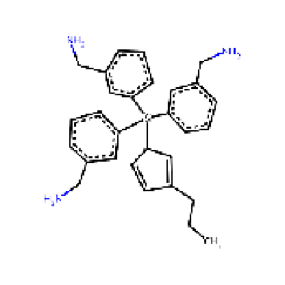 CCCC1=C[C]([Si](c2cccc(CN)c2)(c2cccc(CN)c2)c2cccc(CN)c2)C=C1